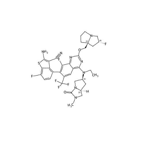 CCN(c1nc(OC[C@@]23CCCN2C[C@H](F)C3)nc2c(F)c(-c3ccc(F)c4sc(N)c(C#N)c34)c(C(F)(F)F)cc12)[C@H]1C[C@H]2CN(C)C(=O)N2C1